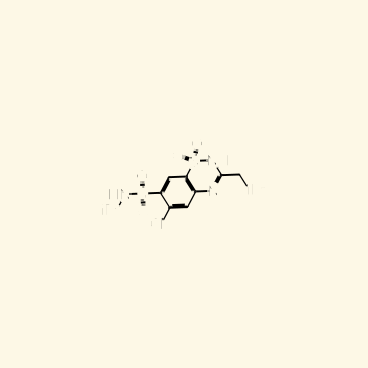 CC(C)CC1=Nc2cc(Cl)c(S(=O)(=O)NC(C)C)cc2S(=O)(=O)N1